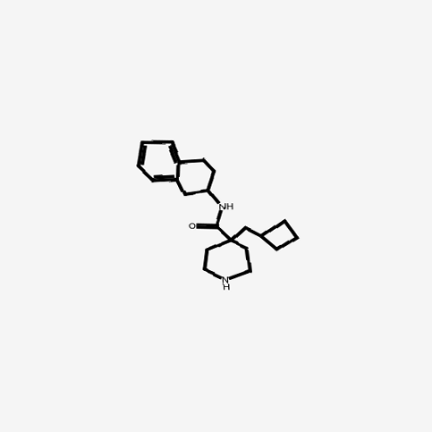 O=C(NC1CCc2ccccc2C1)C1(CC2CCC2)CCNCC1